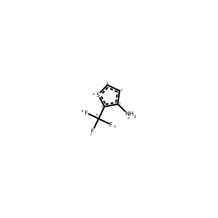 Nc1ccsc1C(F)(F)F